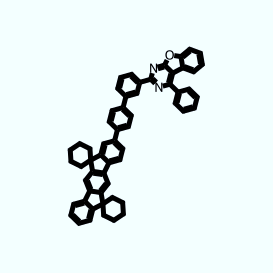 c1ccc(-c2nc(-c3cccc(-c4ccc(-c5ccc6c(c5)C5(CCCCC5)c5cc7c(cc5-6)C5(CCCCC5)c5ccccc5-7)cc4)c3)nc3oc4ccccc4c23)cc1